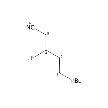 CCCCCCC(F)CC#N